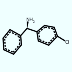 N[C@H](c1ccccc1)c1ccc(Cl)cc1